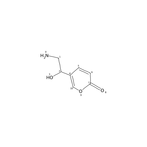 NCC(O)c1ccc(=O)oc1